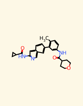 Cc1ccc(NC(=O)C2CCOCC2)cc1-c1ccc2cc(NC(=O)C3CC3)ncc2c1